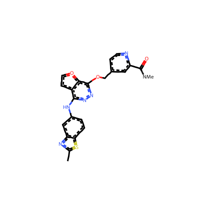 CNC(=O)c1cc(COc2nnc(Nc3ccc4sc(C)nc4c3)c3ccoc23)ccn1